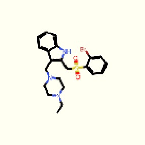 CCN1CCN(Cc2c(CS(=O)(=O)c3ccccc3Br)[nH]c3ccccc23)CC1